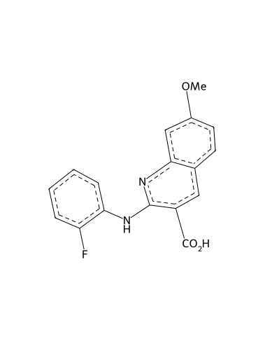 COc1ccc2cc(C(=O)O)c(Nc3ccccc3F)nc2c1